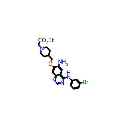 CCOC(=O)CN1CCC(COc2cc3ncnc(Nc4cccc(Br)c4)c3cc2N)CC1